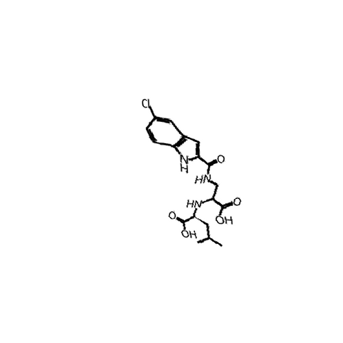 CC(C)C[C@H](NC(CNC(=O)c1cc2cc(Cl)ccc2[nH]1)C(=O)O)C(=O)O